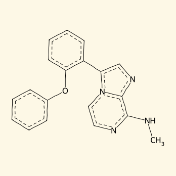 CNc1nccn2c(-c3ccccc3Oc3ccccc3)cnc12